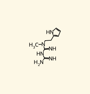 CN(CCc1ccc[nH]1)C(=N)NC(=N)N